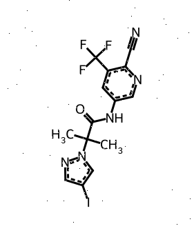 CC(C)(C(=O)Nc1cnc(C#N)c(C(F)(F)F)c1)n1cc(I)cn1